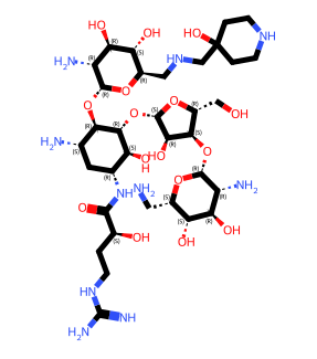 N=C(N)NCC[C@H](O)C(=O)N[C@@H]1C[C@H](N)[C@@H](O[C@H]2O[C@H](CNCC3(O)CCNCC3)[C@@H](O)[C@H](O)[C@H]2N)[C@H](O[C@@H]2O[C@H](CO)[C@@H](O[C@H]3O[C@@H](CN)[C@@H](O)[C@H](O)[C@H]3N)[C@H]2O)[C@H]1O